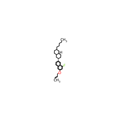 C/C=C/COc1cc(F)c2cc([C@@H]3CC[C@@H]4CC(CCCCC)CCC4C3)ccc2c1